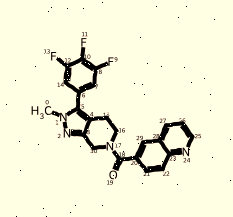 Cn1nc2c(c1-c1cc(F)c(F)c(F)c1)CCN(C(=O)c1ccc3ncccc3c1)C2